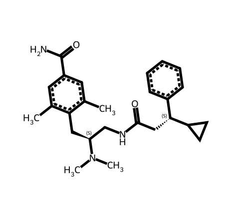 Cc1cc(C(N)=O)cc(C)c1C[C@@H](CNC(=O)C[C@H](c1ccccc1)C1CC1)N(C)C